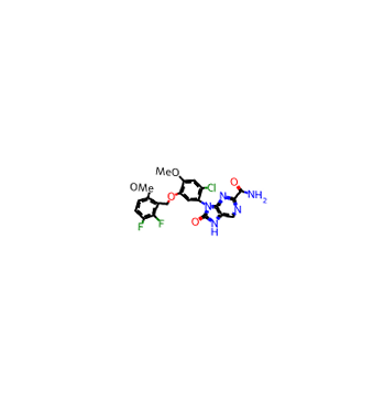 COc1cc(Cl)c(-n2c(=O)[nH]c3cnc(C(N)=O)nc32)cc1OCc1c(OC)ccc(F)c1F